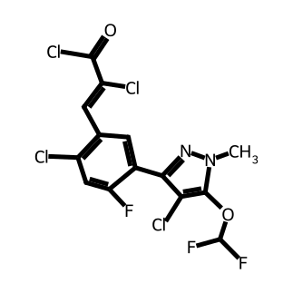 Cn1nc(-c2cc(C=C(Cl)C(=O)Cl)c(Cl)cc2F)c(Cl)c1OC(F)F